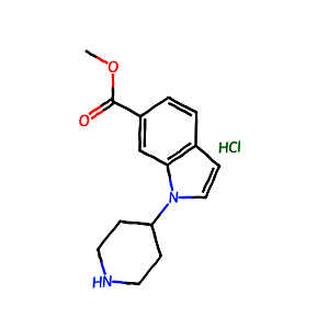 COC(=O)c1ccc2ccn(C3CCNCC3)c2c1.Cl